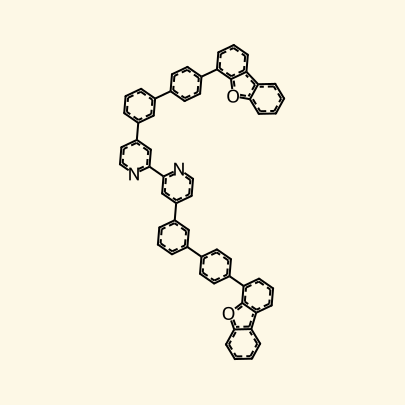 c1cc(-c2ccc(-c3cccc4c3oc3ccccc34)cc2)cc(-c2ccnc(-c3cc(-c4cccc(-c5ccc(-c6cccc7c6oc6ccccc67)cc5)c4)ccn3)c2)c1